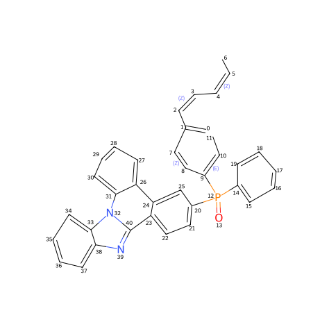 C=C(/C=C\C=C/C)/C=C\C(=C/C)P(=O)(c1ccccc1)c1ccc2c(c1)c1ccccc1n1c3ccccc3nc21